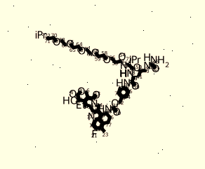 CC[C@@]1(O)C(=O)OCc2c1cc1n(c2=O)Cc2c-1nc1cc(F)c(C)c3c1c2[C@@H](NC(=O)OCc1ccc(NC(=O)[C@H](CCCNC(N)=O)NC(=O)[C@@H](NC(=O)CCOCCOCCOCCOCCOCCC(C)C)C(C)C)cc1)CC3